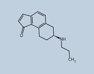 CCCN[C@H]1CCc2c(ccc3c2C(=O)C=C3)C1